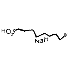 O=S(=O)(O)CCCCCCCCBr.[NaH]